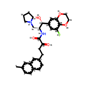 Cc1ccc2ccc(CCC(=O)C(=O)N[C@H](CN3CCCC3)[C@H](O)c3cc(F)c4c(c3)OCCO4)cc2c1